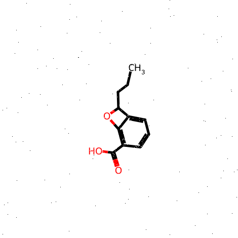 CCCC1Oc2c(C(=O)O)cccc21